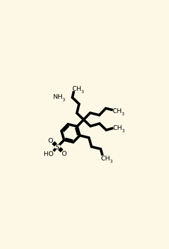 CCCCc1cc(S(=O)(=O)O)ccc1C(CCCC)(CCCC)CCCC.N